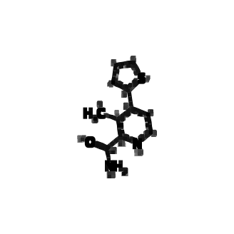 Cc1c(-c2cccs2)ccnc1C(N)=O